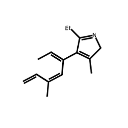 C=C/C(C)=C\C(=C/C)C1=C(C)CN=C1CC